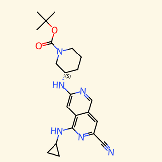 CC(C)(C)OC(=O)N1CCC[C@H](Nc2cc3c(NC4CC4)nc(C#N)cc3cn2)C1